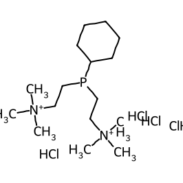 C[N+](C)(C)CCP(CC[N+](C)(C)C)C1CCCCC1.Cl.Cl.Cl.Cl